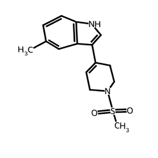 Cc1ccc2[nH]cc(C3=CCN(S(C)(=O)=O)CC3)c2c1